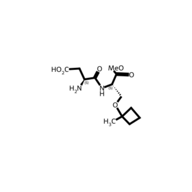 COC(=O)[C@H](COC1(C)CCC1)NC(=O)[C@@H](N)CC(=O)O